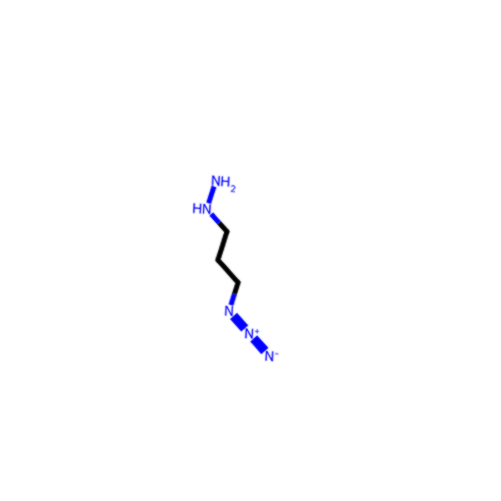 [N-]=[N+]=NCCCNN